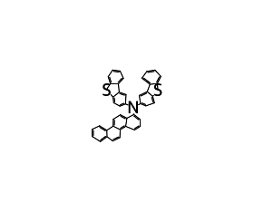 c1ccc2c(c1)ccc1c3cccc(N(c4ccc5sc6ccccc6c5c4)c4ccc5sc6ccccc6c5c4)c3ccc21